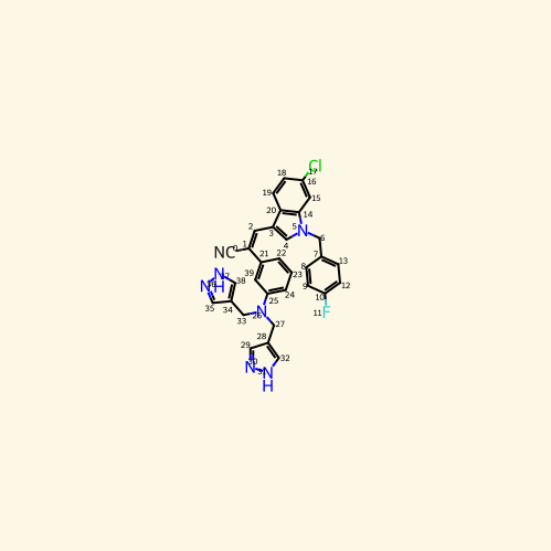 N#CC(=Cc1cn(Cc2ccc(F)cc2)c2cc(Cl)ccc12)c1cccc(N(Cc2cn[nH]c2)Cc2cn[nH]c2)c1